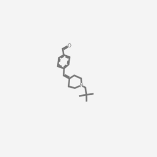 CC(C)(C)CN1CCC(=Cc2ccc(C=O)cc2)CC1